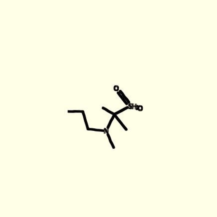 CCCN(C)C(C)(C)[SH](=O)=O